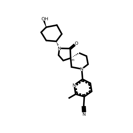 Cc1nc(N2CCC[C@@]3(CCN([C@H]4CC[C@H](O)CC4)C3=O)C2)ccc1C#N